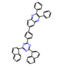 c1ccc(-c2nc3ccc(-c4ccc(-c5nc(-c6cccc7ccccc67)nc(-c6cccc7ccccc67)n5)cc4)cc3nc2-c2ccccc2)cc1